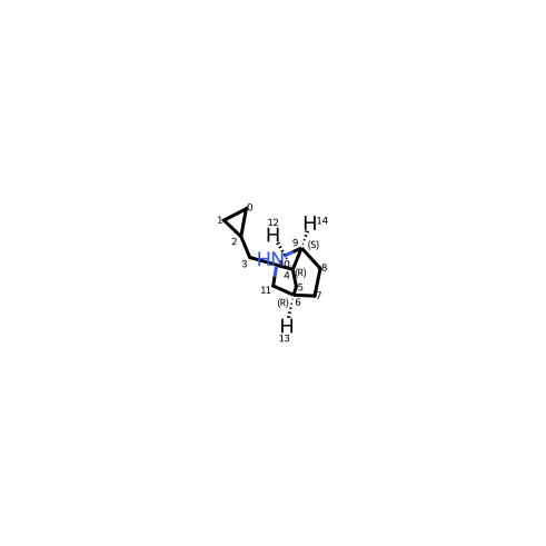 C1CC1C[C@@H]1C[C@H]2CC[C@@H]1NC2